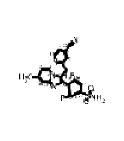 Cc1ccn2c(Cc3cc(C#N)ccn3)c(-c3c(F)cc(S(N)(=O)=O)cc3P)nc2c1